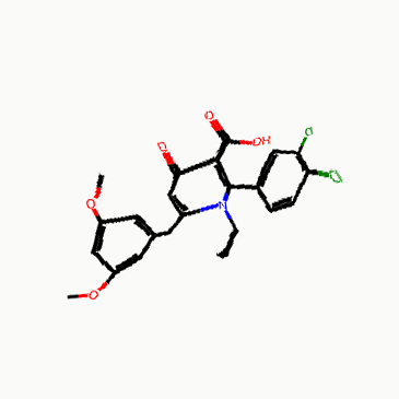 CCn1c(Cc2cc(OC)cc(OC)c2)cc(=O)c(C(=O)O)c1-c1ccc(Cl)c(Cl)c1